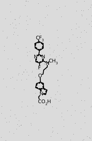 CN(CCCOc1ccc2c(ccn2CC(=O)O)c1)c1nc(-c2ccc(C(F)(F)F)cc2)ncc1F